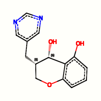 Oc1cccc2c1[C@@H](O)[C@@H](Cc1cncnc1)CO2